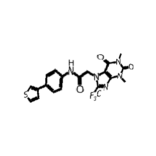 Cn1c(=O)c2c(nc(C(F)(F)F)n2CC(=O)Nc2ccc(-c3ccsc3)cc2)n(C)c1=O